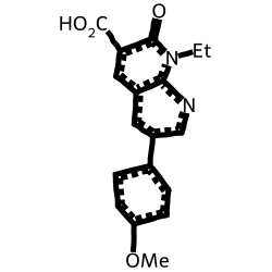 CCn1c(=O)c(C(=O)O)cc2cc(-c3ccc(OC)cc3)cnc21